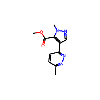 COC(=O)c1c(-c2ccc(C)nn2)cnn1C